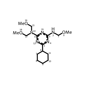 COCNc1nc(C2CCCCC2)nc(N(COC)COC)n1